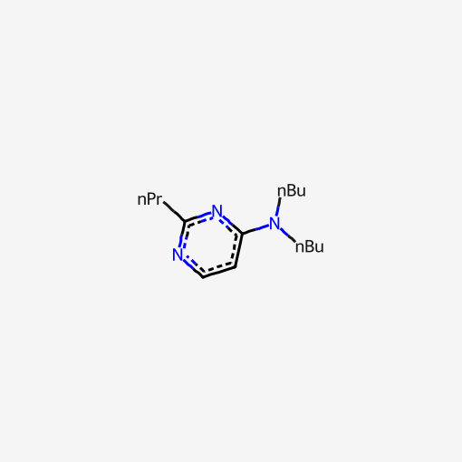 CCCCN(CCCC)c1ccnc(CCC)n1